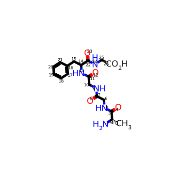 C[C@H](N)C(=O)NCC(=O)NCC(=O)NC(Cc1ccccc1)C(=O)NCC(=O)O